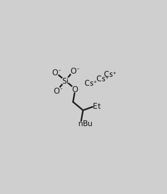 CCCCC(CC)CO[Si]([O-])([O-])[O-].[Cs+].[Cs+].[Cs+]